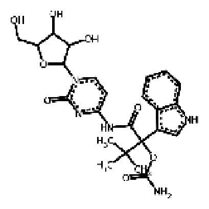 CC(C)(C)C(OC(N)=O)(C(=O)Nc1ccn(C2OC(CO)C(O)C2O)c(=O)n1)c1c[nH]c2ccccc12